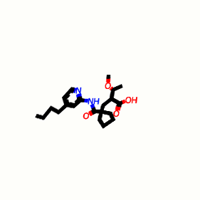 CCCCc1ccnc(NC(=O)C2(CC(C(=O)O)C(C)OC)CCCC2)c1